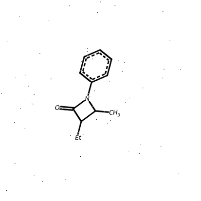 CCC1C(=O)N(c2ccccc2)C1C